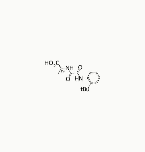 C[C@H](NC(=O)C(=O)Nc1ccccc1C(C)(C)C)C(=O)O